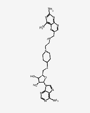 Nc1nc(N)c2nc(CNCCN3CCC(SC[C@H]4O[C@@H](n5cnc6c(N)ncnc65)[C@@H](O)C4O)CC3)cnc2n1